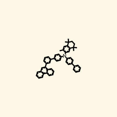 Cc1cc2c(cc1N(c1ccc(-c3ccccc3)cc1)c1ccc(-c3cccc(-c4cc5ccccc5c5ccccc45)c3)cc1)C(C)(C)CCC2(C)C